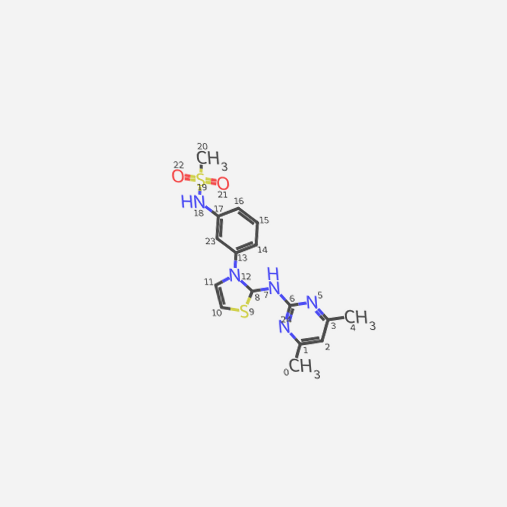 Cc1cc(C)nc(NC2SC=CN2c2cccc(NS(C)(=O)=O)c2)n1